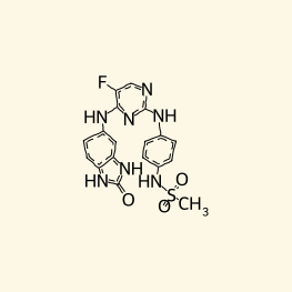 CS(=O)(=O)Nc1ccc(Nc2ncc(F)c(Nc3ccc4[nH]c(=O)[nH]c4c3)n2)cc1